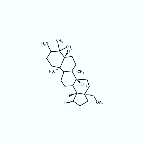 CC(=O)OC[C@]12CC[C@@H](C(C)C)[C@@H]1C1CCC3[C@@]4(C)CCC(N)C(C)(C)[C@@H]4CC[C@@]3(C)[C@]1(C)CC2